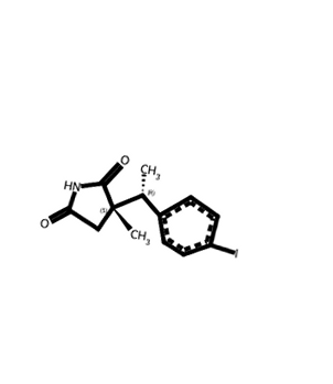 C[C@H](c1ccc(I)cc1)[C@]1(C)CC(=O)NC1=O